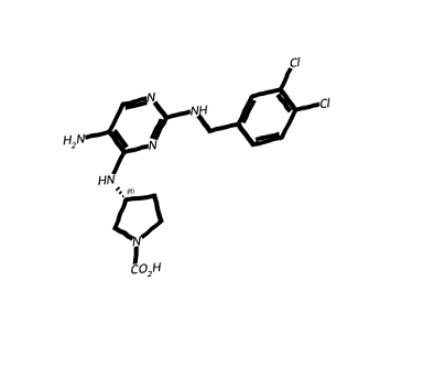 Nc1cnc(NCc2ccc(Cl)c(Cl)c2)nc1N[C@@H]1CCN(C(=O)O)C1